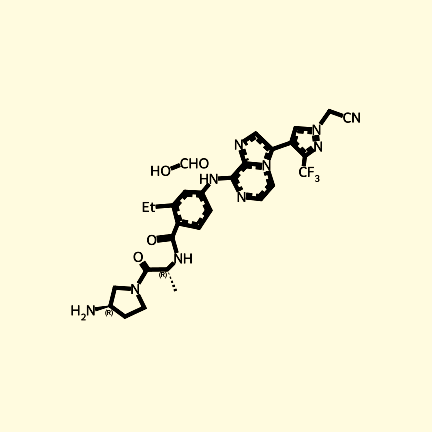 CCc1cc(Nc2nccn3c(-c4cn(CC#N)nc4C(F)(F)F)cnc23)ccc1C(=O)N[C@H](C)C(=O)N1CC[C@@H](N)C1.O=CO